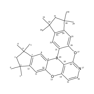 CC1(C)CC(C)(C)c2cc3c(cc21)Oc1ccnc2c1B3c1cc3c(cc1O2)C(C)(C)CC3(C)C